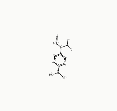 CC(C)N([SH]=O)c1ccc(B(O)O)cc1